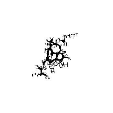 CCCCCCCC(=O)O[C@@]12C[C@@H](C)[C@]34C=C(C)[C@H](O)[C@@]3(O)[C@H](O)C(COC(=O)C(C)C(C)C)=C[C@H](C4=O)[C@@H]1C2(C)C